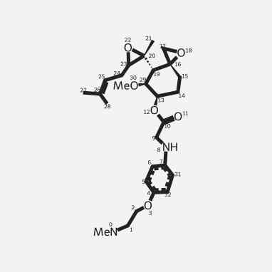 CNCCOc1ccc(NCC(=O)O[C@@H]2CC[C@]3(CO3)[C@@H]([C@@]3(C)OC3CC=C(C)C)[C@@H]2OC)cc1